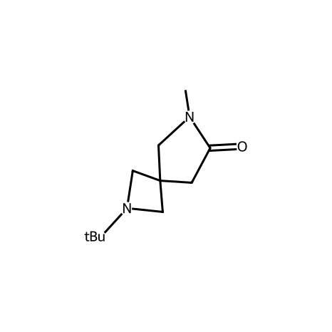 CN1CC2(CC1=O)CN(C(C)(C)C)C2